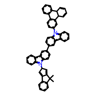 CC1(C)C2=CC(n3c4ccccc4c4cc(-c5ccc6c(c5)c5ccccc5n6-c5ccc6c(c5)C5C=CC=CC5c5ccccc5-6)ccc43)C=C2c2ccccc21